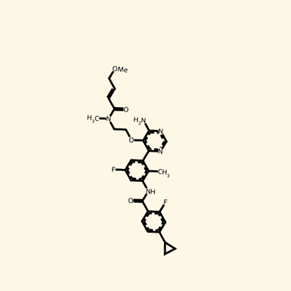 COCC=CC(=O)N(C)CCOc1c(N)ncnc1-c1cc(F)cc(NC(=O)c2ccc(C3CC3)cc2F)c1C